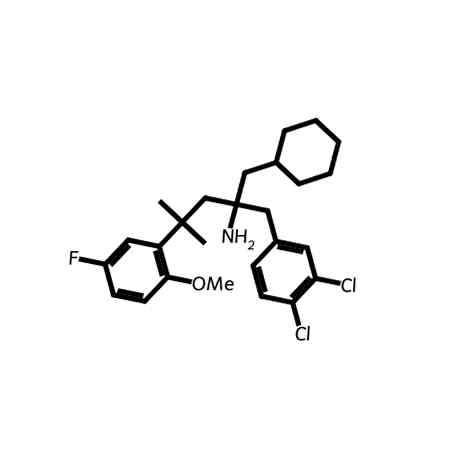 COc1ccc(F)cc1C(C)(C)CC(N)(Cc1ccc(Cl)c(Cl)c1)CC1CCCCC1